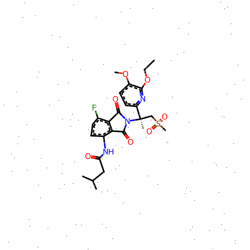 CCOc1nc([C@@](C)(CS(C)(=O)=O)N2C(=O)c3c(F)ccc(NC(=O)CC(C)C)c3C2=O)ccc1OC